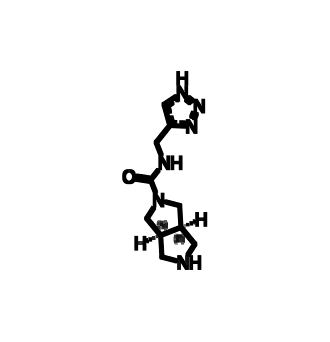 O=C(NCc1c[nH]nn1)N1C[C@H]2CNC[C@H]2C1